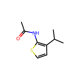 CC(=O)Nc1sccc1C(C)C